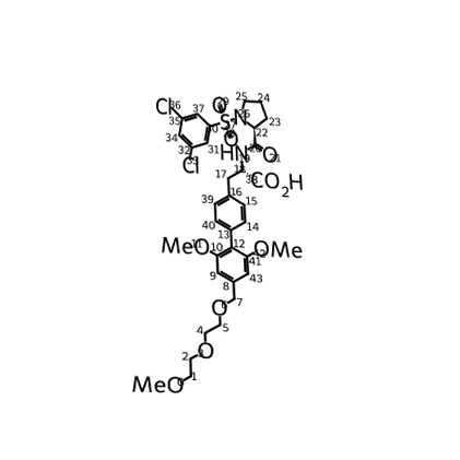 COCCOCCOCc1cc(OC)c(-c2ccc(C[C@H](NC(=O)[C@@H]3CCCN3S(=O)(=O)c3cc(Cl)cc(Cl)c3)C(=O)O)cc2)c(OC)c1